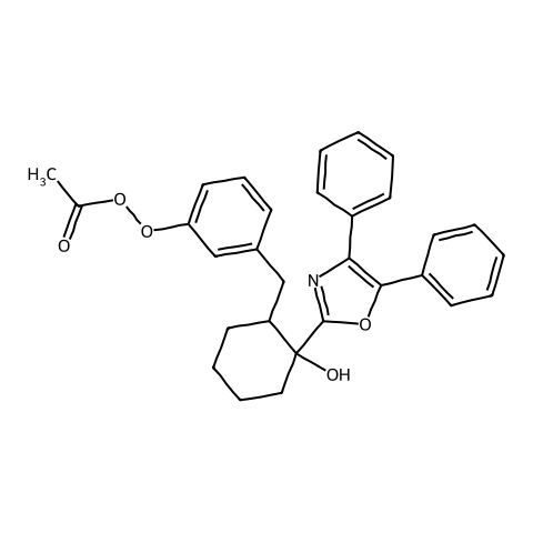 CC(=O)OOc1cccc(CC2CCCCC2(O)c2nc(-c3ccccc3)c(-c3ccccc3)o2)c1